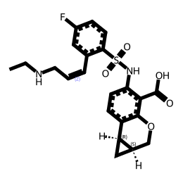 CCNC/C=C\c1cc(F)ccc1S(=O)(=O)Nc1ccc2c(c1C(=O)O)OC[C@H]1C[C@@H]21